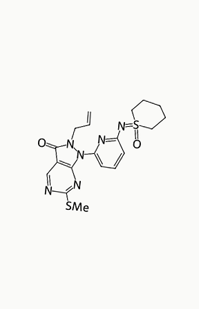 C=CCn1c(=O)c2cnc(SC)nc2n1-c1cccc(N=S2(=O)CCCCC2)n1